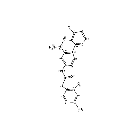 Cc1ccc(CC(=O)Nc2ccc(-c3cncc(F)c3)c([S+](N)[O-])c2)c(Cl)c1